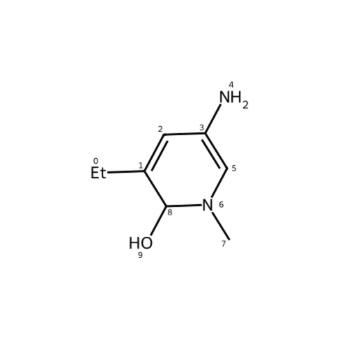 CCC1=CC(N)=CN(C)C1O